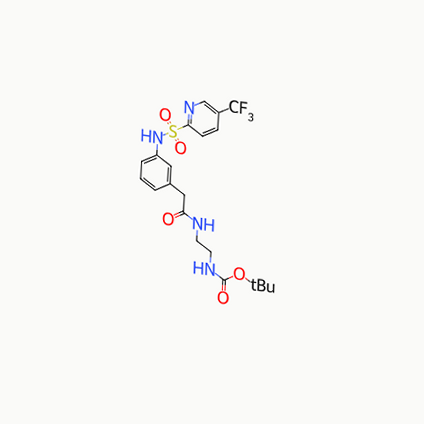 CC(C)(C)OC(=O)NCCNC(=O)Cc1cccc(NS(=O)(=O)c2ccc(C(F)(F)F)cn2)c1